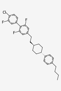 CCCCc1ccc([C@H]2CC[C@H](CCc3cc(F)c(-c4ccc(Cl)c(F)c4)c(F)c3)CC2)cc1